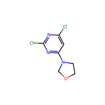 Clc1cc(N2CCOC2)nc(Cl)n1